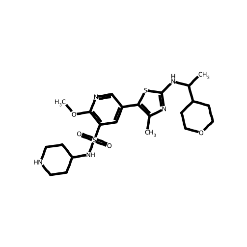 COc1ncc(-c2sc(NC(C)C3CCOCC3)nc2C)cc1S(=O)(=O)NC1CCNCC1